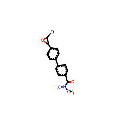 CCC1OC1c1ccc(-c2ccc(C(=O)N(C)C)cc2)cc1